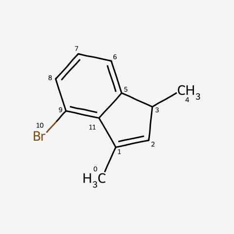 CC1=CC(C)c2cccc(Br)c21